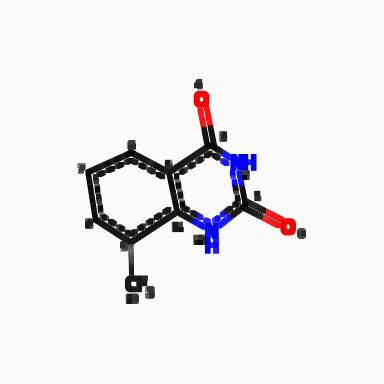 O=c1[nH]c(=O)c2cccc(C(F)(F)F)c2[nH]1